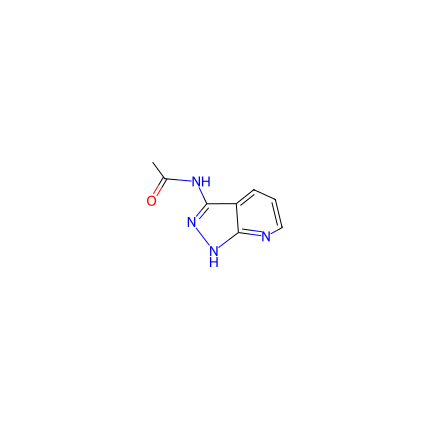 CC(=O)Nc1n[nH]c2ncccc12